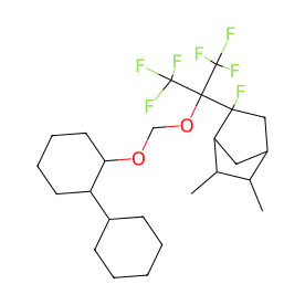 CC1C2CC(C1C)C(F)(C(OCOC1CCCCC1C1CCCCC1)(C(F)(F)F)C(F)(F)F)C2